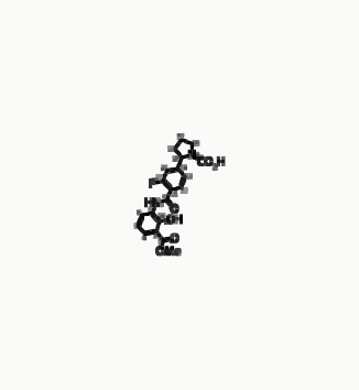 COC(=O)c1cccc(NC(=O)c2ccc(C3CCCN3C(=O)O)cc2F)c1O